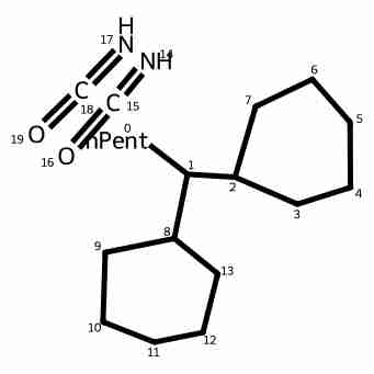 CCCCCC(C1CCCCC1)C1CCCCC1.N=C=O.N=C=O